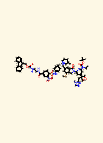 CCN(C(=O)OC(C)(C)C)c1cc(C2(Cc3nncn3C)COC2)cc(N2Cc3c(SC)cc(C[N+]4(Cc5ccc(NS(=O)(=O)c6ccc(C(=O)NCCNC(=O)OCC7c8ccccc8-c8ccccc87)cc6[N+](=O)[O-])cc5)CCCC(C)C4)cc3C2=O)n1